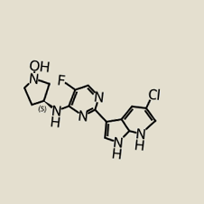 ON1CC[C@H](Nc2nc(C3=CNC4NC=C(Cl)C=C34)ncc2F)C1